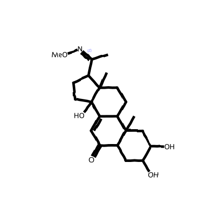 CO/N=C(/C)C1CCC2(O)C3=CC(=O)C4CC(O)C(O)CC4(C)C3CCC12C